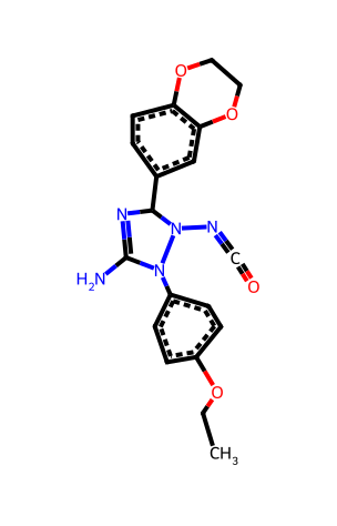 CCOc1ccc(N2C(N)=NC(c3ccc4c(c3)OCCO4)N2N=C=O)cc1